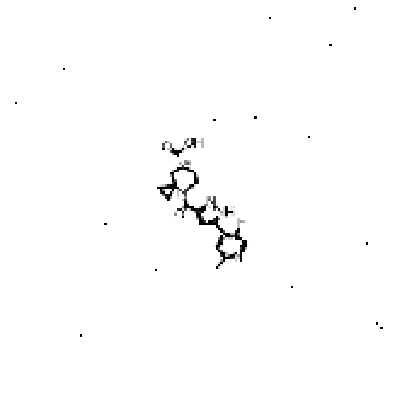 Cc1cc(-c2cc(C(=O)N3CC[C@@H](C(=O)O)CC34CC4)n[nH]2)c(F)cn1